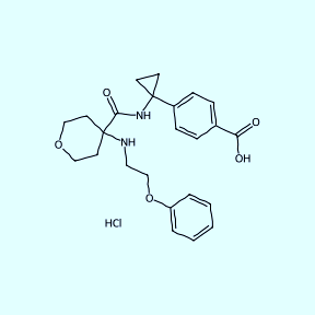 Cl.O=C(O)c1ccc(C2(NC(=O)C3(NCCOc4ccccc4)CCOCC3)CC2)cc1